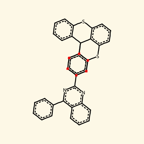 c1ccc(-c2nc(-c3ccc(C45c6ccccc6Sc6cccc(c64)Sc4ccccc45)cc3)nc3ccccc23)cc1